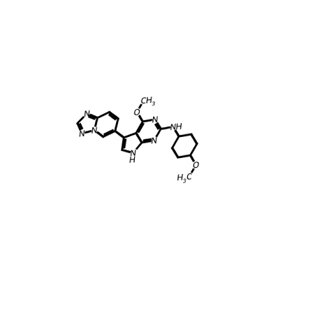 COc1nc(NC2CCC(OC)CC2)nc2[nH]cc(-c3ccc4ncnn4c3)c12